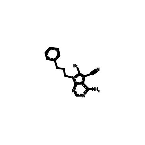 N#Cc1c(Br)n(CCCc2ccccc2)c2ncnc(N)c12